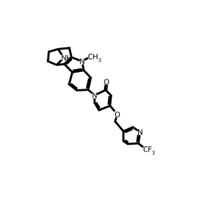 Cn1c2c(c3ccc(-n4ccc(OCc5ccc(C(F)(F)F)nc5)cc4=O)cc31)C1CCC(C2)N1